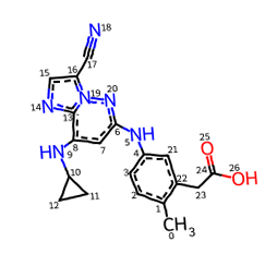 Cc1ccc(Nc2cc(NC3CC3)c3ncc(C#N)n3n2)cc1CC(=O)O